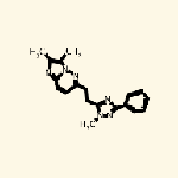 Cc1nc2ccc(CCc3nc(-c4ccccc4)nn3C)nn2c1C